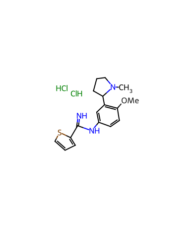 COc1ccc(NC(=N)c2cccs2)cc1C1CCCN1C.Cl.Cl